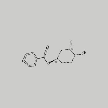 O=C(O[C@@H]1CCC(O)[C@@H](F)C1)c1ccccc1